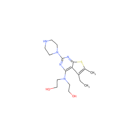 CCc1c(C)sc2nc(N3CCNCC3)nc(N(CCO)CCO)c12